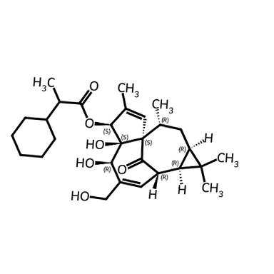 CC1=C[C@]23C(=O)[C@@H](C=C(CO)[C@@H](O)[C@]2(O)[C@H]1OC(=O)C(C)C1CCCCC1)[C@H]1[C@@H](C[C@H]3C)C1(C)C